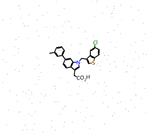 Cc1cccc(-c2ccc3c(CC(=O)O)cn(Cc4csc5ccc(Cl)cc45)c3c2)c1